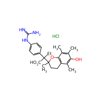 CCC(C(=O)O)(c1ccc(NC(=N)N)cc1)C1(C)CCc2c(C)c(O)c(C)c(C)c2O1.Cl